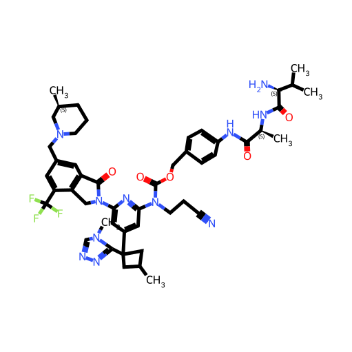 CC1CC(c2cc(N(CCC#N)C(=O)OCc3ccc(NC(=O)[C@H](C)NC(=O)[C@@H](N)C(C)C)cc3)nc(N3Cc4c(cc(CN5CCC[C@H](C)C5)cc4C(F)(F)F)C3=O)c2)(c2nncn2C)C1